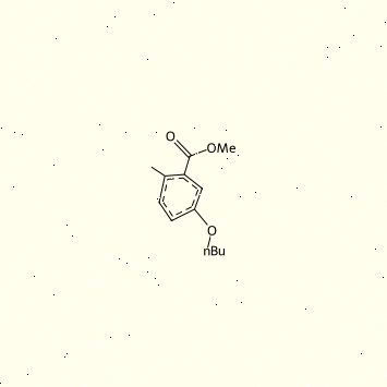 CCCCOc1ccc(C)c(C(=O)OC)c1